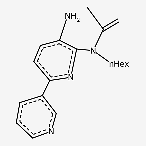 C=C(C)N(CCCCCC)c1nc(-c2cccnc2)ccc1N